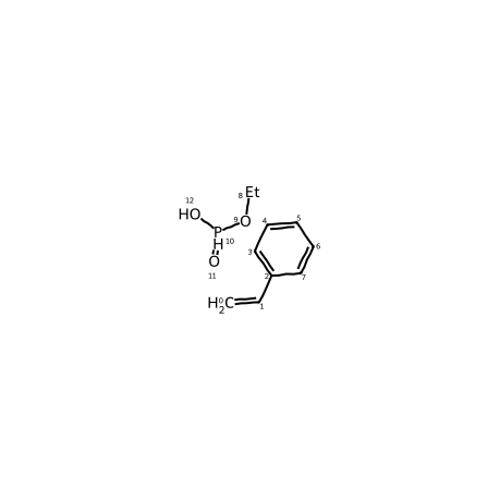 C=Cc1ccccc1.CCO[PH](=O)O